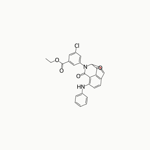 CCOC(=O)c1cc(Cl)cc(N2C(=O)c3c(Nc4ccccc4)ccc4c3C(=O)C2C=C4)c1